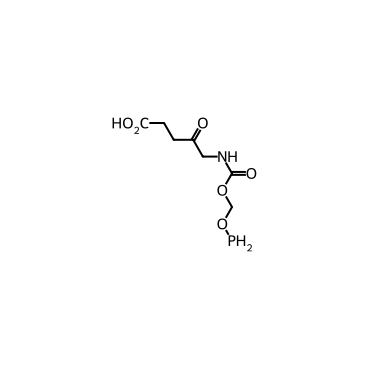 O=C(O)CCC(=O)CNC(=O)OCOP